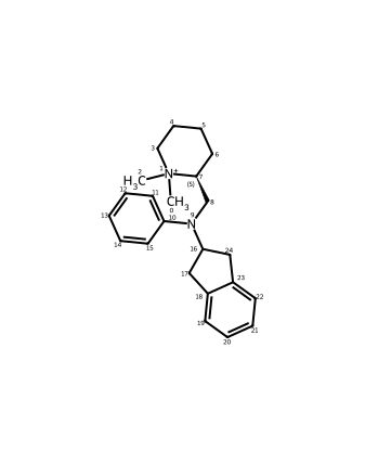 C[N+]1(C)CCCC[C@H]1CN(c1ccccc1)C1Cc2ccccc2C1